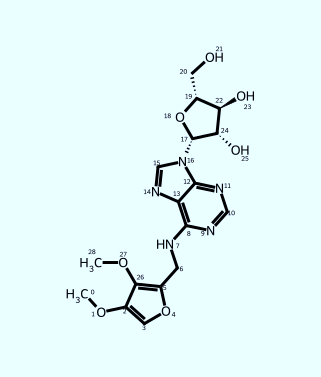 COc1coc(CNc2ncnc3c2ncn3[C@@H]2O[C@H](CO)[C@@H](O)[C@@H]2O)c1OC